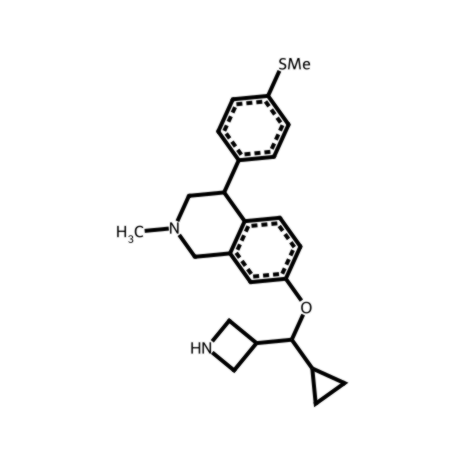 CSc1ccc(C2CN(C)Cc3cc(OC(C4CC4)C4CNC4)ccc32)cc1